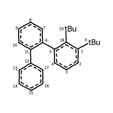 CC(C)(C)c1cccc(-c2ccccc2-c2[c]cccc2)c1C(C)(C)C